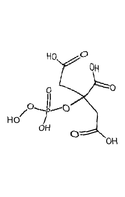 O=C(O)CC(CC(=O)O)(OP(=O)(O)OO)C(=O)O